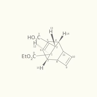 CCOC(=O)[C@H]1[C@H](C(=O)O)[C@@H]2C=C[C@H]1C1C=CC12